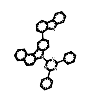 c1ccc(-c2nc(-c3ccccc3)nc(-n3c4ccc(-c5cccc6c5sc5ccccc56)cc4c4c5ccccc5ccc43)n2)cc1